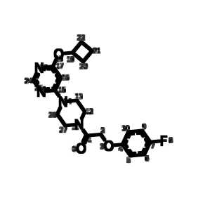 O=C(COc1ccc(F)cc1)N1CCN(c2cc(OC3CCC3)ncn2)CC1